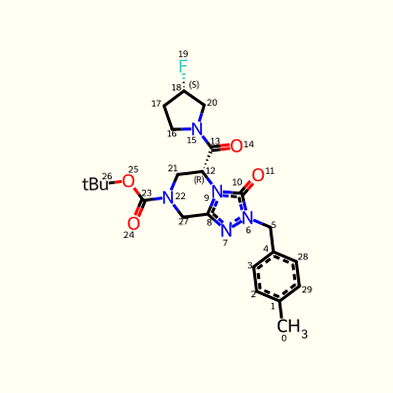 Cc1ccc(Cn2nc3n(c2=O)[C@@H](C(=O)N2CC[C@H](F)C2)CN(C(=O)OC(C)(C)C)C3)cc1